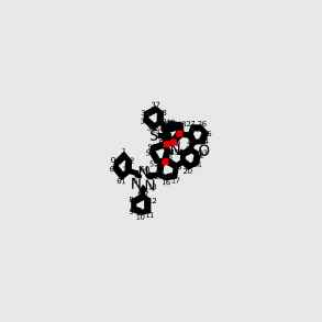 c1ccc(-c2nc(-c3ccccc3)nc(-c3ccc(-c4ccc5oc6cccc(-c7ccc8sc9ccccc9c8c7)c6c5c4-n4c5ccccc5c5ccccc54)cc3)n2)cc1